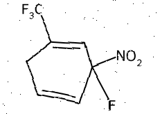 O=[N+]([O-])C1(F)C=CCC(C(F)(F)F)=C1